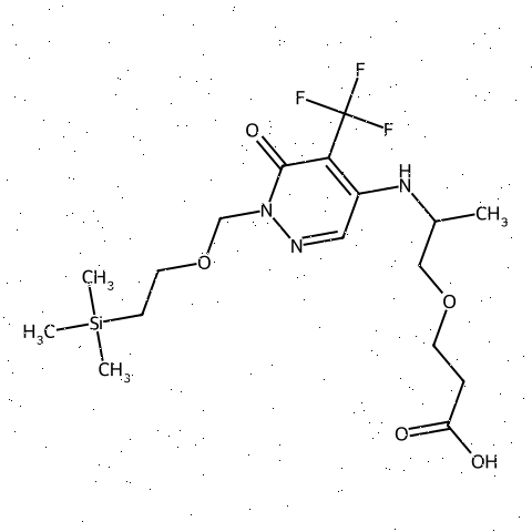 CC(COCCC(=O)O)Nc1cnn(COCC[Si](C)(C)C)c(=O)c1C(F)(F)F